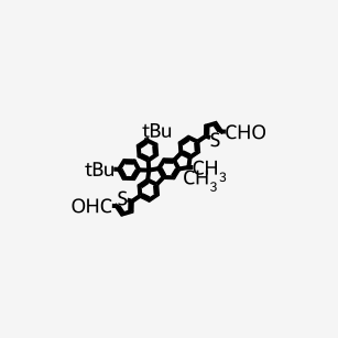 CC(C)(C)c1ccc(C2(c3ccc(C(C)(C)C)cc3)c3cc(-c4ccc(C=O)s4)ccc3-c3cc4c(cc32)-c2ccc(-c3ccc(C=O)s3)cc2C4(C)C)cc1